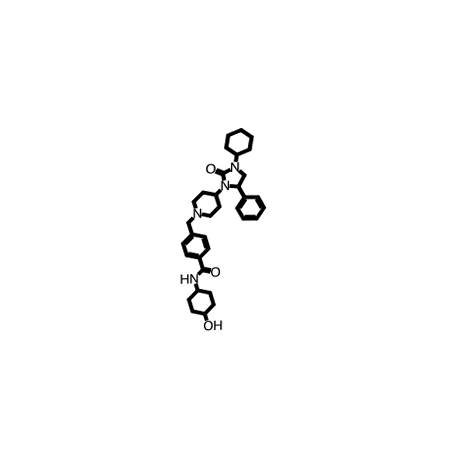 O=C(NC1CCC(O)CC1)c1ccc(CN2CCC(N3C(=O)N(C4CCCCC4)CC3c3ccccc3)CC2)cc1